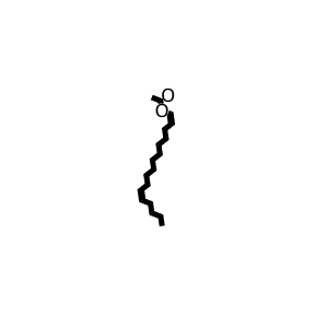 CCCC/C=C\CCCCCCCC/C=C\OC(C)=O